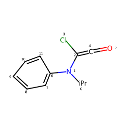 CC(C)N(C(Cl)=C=O)c1ccccc1